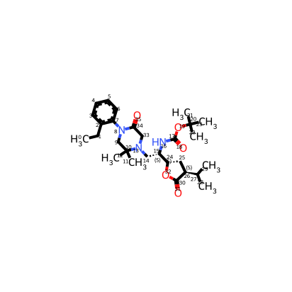 CCc1ccccc1N1CC(C)(C)N(C[C@H](NC(=O)OC(C)(C)C)[C@@H]2C[C@@H](C(C)C)C(=O)O2)CC1=O